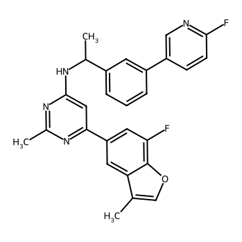 Cc1nc(NC(C)c2cccc(-c3ccc(F)nc3)c2)cc(-c2cc(F)c3occ(C)c3c2)n1